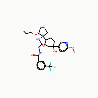 CCCO[C@H]1CNC[C@@]1(NC(=O)CNC(=O)c1cccc(C(F)(F)F)c1)C1CCC(O)(c2ccc(OC)nc2)CC1